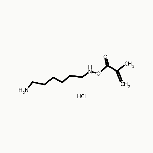 C=C(C)C(=O)ONCCCCCCN.Cl